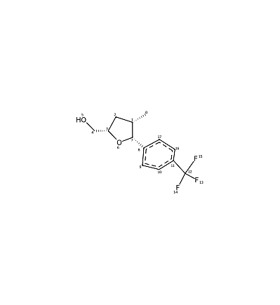 C[C@H]1C[C@@H](CO)O[C@H]1c1ccc(C(F)(F)F)cc1